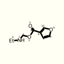 CCNCOC(=O)c1ccoc1